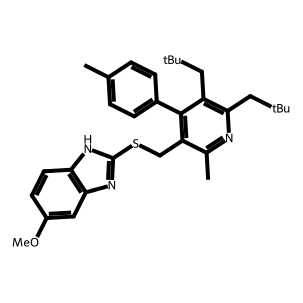 COc1ccc2[nH]c(SCc3c(C)nc(CC(C)(C)C)c(CC(C)(C)C)c3-c3ccc(C)cc3)nc2c1